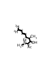 [2H]C([2H])=CC=CC[C@@H](C)C(O)[C@@H](C(C)=O)N(C)CC